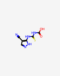 N#Cc1cn[nH]c1NC(=S)NC(=O)O